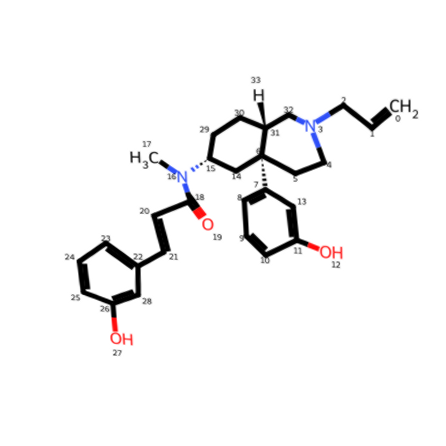 C=CCN1CC[C@@]2(c3cccc(O)c3)C[C@H](N(C)C(=O)C=Cc3cccc(O)c3)CC[C@@H]2C1